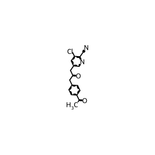 CC(=O)c1ccc(CC(=O)Cc2cnc(C#N)c(Cl)c2)cc1